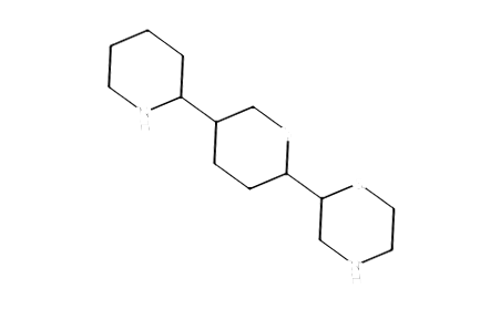 C1CCC(C2CCC(C3CNCCS3)SC2)NC1